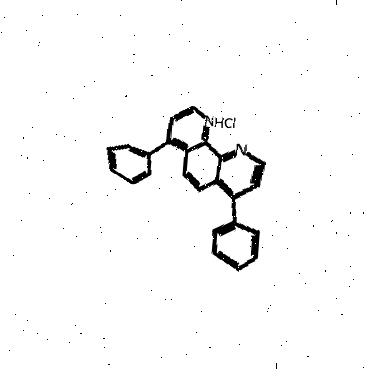 Cl.c1ccc(-c2ccnc3c2ccc2c(-c4ccccc4)ccnc23)cc1